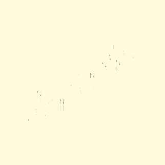 O=C(Nc1ccc(F)cc1F)N1CCN(S(=O)(=O)c2ccc(Nc3ccnc4cc(C(F)(F)F)ccc34)cc2)CC1